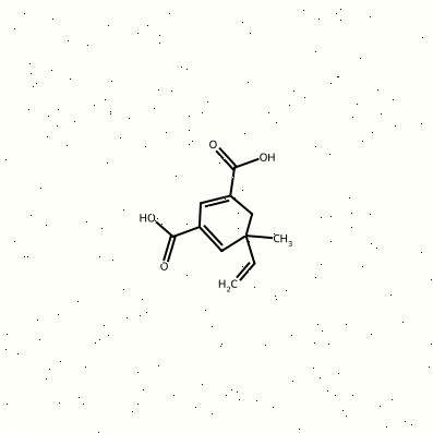 C=CC1(C)C=C(C(=O)O)C=C(C(=O)O)C1